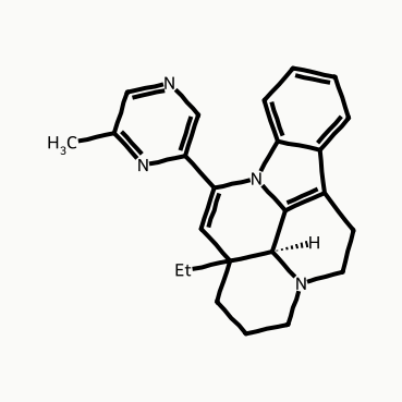 CCC12C=C(c3cncc(C)n3)n3c4c(c5ccccc53)CCN(CCC1)[C@H]42